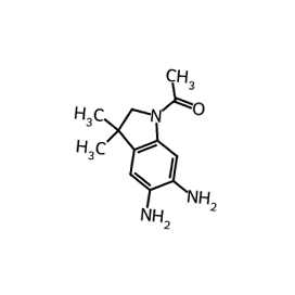 CC(=O)N1CC(C)(C)c2cc(N)c(N)cc21